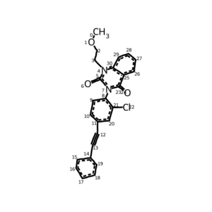 COCCn1c(=O)n(-c2ccc(C#Cc3ccccc3)cc2Cl)c(=O)c2ccccc21